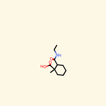 CCNC(=O)C1CCCCC1(C)C(=O)O